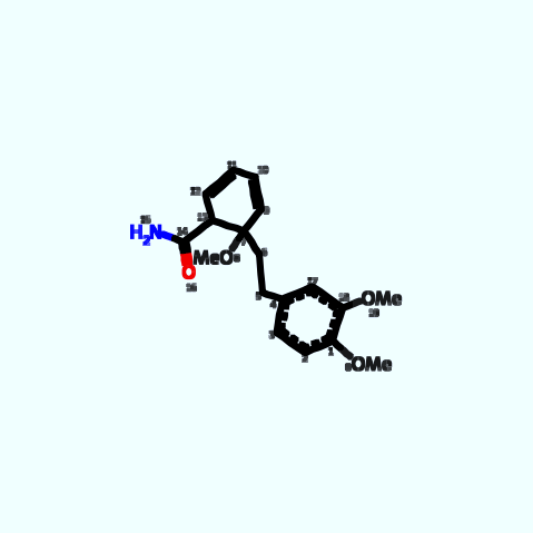 COc1ccc(CCC2(OC)C=CC=CC2C(N)=O)cc1OC